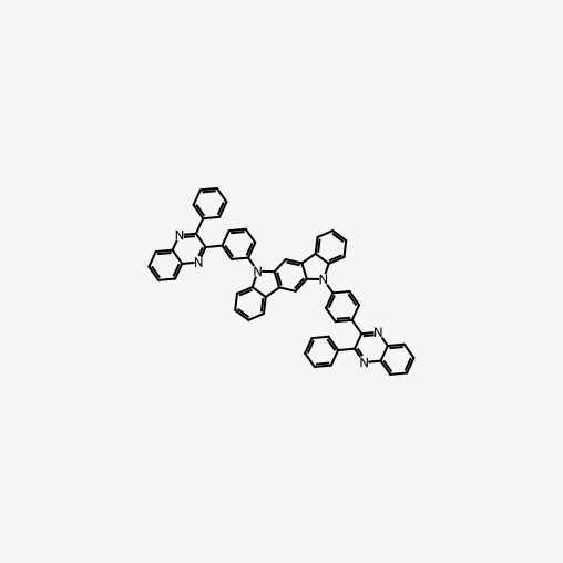 c1ccc(-c2nc3ccccc3nc2-c2ccc(-n3c4ccccc4c4cc5c(cc43)c3ccccc3n5-c3cccc(-c4nc5ccccc5nc4-c4ccccc4)c3)cc2)cc1